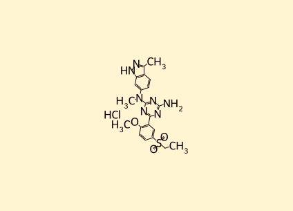 CCS(=O)(=O)c1ccc(OC)c(-c2nc(N)nc(N(C)c3ccc4c(C)n[nH]c4c3)n2)c1.Cl